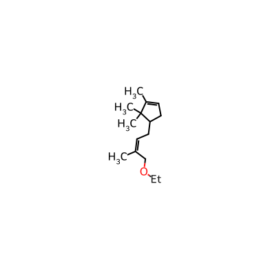 CCOCC(C)=CCC1CC=C(C)C1(C)C